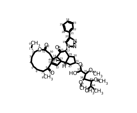 CC[C@H]1CCCC[C@@H](C)C(=O)C2=C[C@@H]3C(C(=O)[C@@H](n4cc(-c5ccccc5)nn4)C4C[C@@H](OC(O)C(OC)C(OC)C(OC)C(C)C)C[C@H]43)C2CC(=O)O1